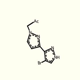 CC(=O)Cn1ccc(-c2n[nH]cc2Br)n1